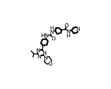 CC(C)c1nc(-c2ccc(NC(=O)Nc3ccc(C(=O)Nc4ccncc4)cc3)cc2)nc(N2CCOCC2)n1